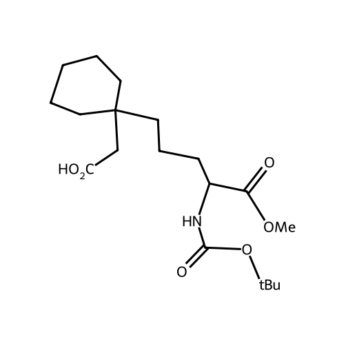 COC(=O)C(CCCC1(CC(=O)O)CCCCC1)NC(=O)OC(C)(C)C